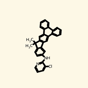 CC1(C)c2ccc(Nc3ncccc3Cl)cc2-c2cc3c4ccccc4c4ccccc4c3cc21